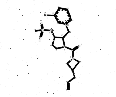 C=CCC1CN(C(=O)N2CCC(NS(C)(=O)=O)C2Cc2cccc(Br)c2)C1